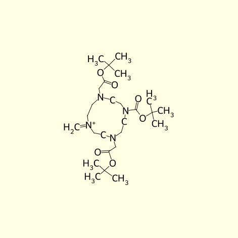 C=[N+]1CCN(CC(=O)OC(C)(C)C)CCN(C(=O)OC(C)(C)C)CCN(CC(=O)OC(C)(C)C)CC1